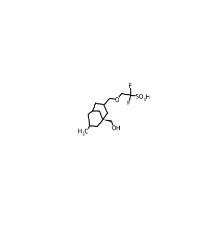 CC1CC2CC(COCC(F)(F)S(=O)(=O)O)C[C@](CO)(C1)C2